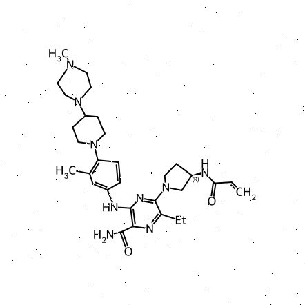 C=CC(=O)N[C@@H]1CCN(c2nc(Nc3ccc(N4CCC(N5CCN(C)CC5)CC4)c(C)c3)c(C(N)=O)nc2CC)C1